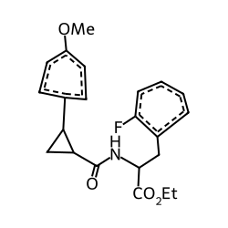 CCOC(=O)C(Cc1ccccc1F)NC(=O)C1CC1c1ccc(OC)cc1